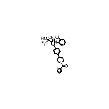 O=C(c1cccs1)N1CC=C(c2ccc(C3CC(C(O)(C(F)(F)F)C(F)(F)F)=NN3c3ccccc3Cl)cc2)CC1